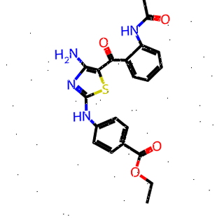 CCOC(=O)c1ccc(Nc2nc(N)c(C(=O)c3ccccc3NC(C)=O)s2)cc1